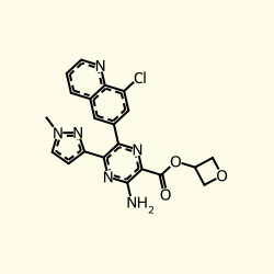 Cn1ccc(-c2nc(N)c(C(=O)OC3COC3)nc2-c2cc(Cl)c3ncccc3c2)n1